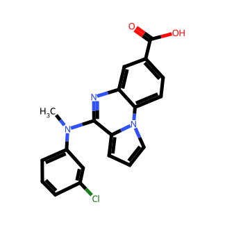 CN(c1cccc(Cl)c1)c1nc2cc(C(=O)O)ccc2n2cccc12